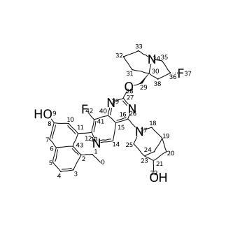 CCc1cccc2cc(O)cc(-c3ncc4c(N5CC6CC(O)C(C6)C5)nc(OC[C@@]56CCCN5C[C@H](F)C6)nc4c3F)c12